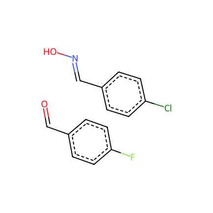 O=Cc1ccc(F)cc1.ON=Cc1ccc(Cl)cc1